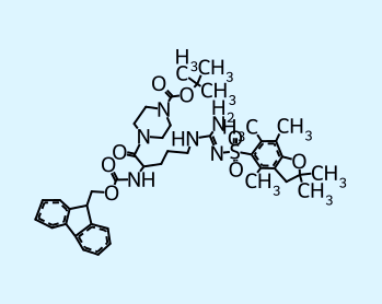 Cc1c(C)c(S(=O)(=O)N=C(N)NCCCC(NC(=O)OCC2c3ccccc3-c3ccccc32)C(=O)N2CCN(C(=O)OC(C)(C)C)CC2)c(C)c2c1OC(C)(C)C2